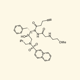 C#CCCC(=O)N(NC(=O)CNCCOC)[C@@H](Cc1ccccc1)[C@H](O)CN(CC(C)C)S(=O)(=O)c1ccc2ccccc2c1